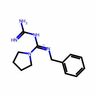 N=C(N)N/C(=N/Cc1ccccc1)N1CCCC1